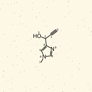 C#CC(O)c1cn(C)cn1